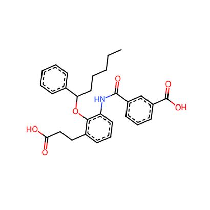 CCCCCC(Oc1c(CCC(=O)O)cccc1NC(=O)c1cccc(C(=O)O)c1)c1ccccc1